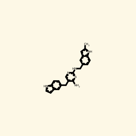 Cc1cc2cc(CNc3ncc(Cc4ccc5[nH]ccc5c4)c(N)n3)ccc2[nH]1